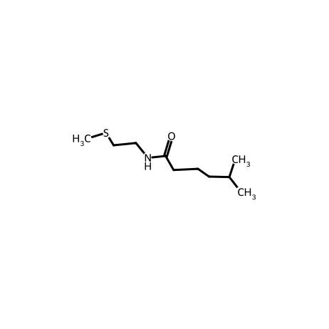 CSCCNC(=O)CCCC(C)C